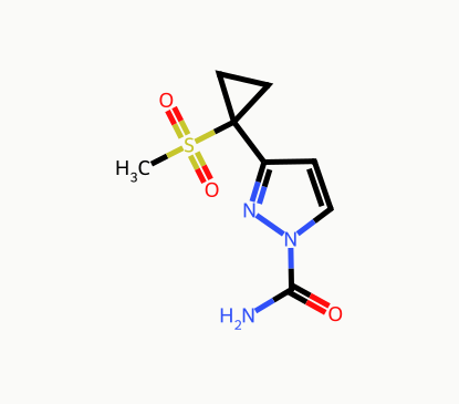 CS(=O)(=O)C1(c2ccn(C(N)=O)n2)CC1